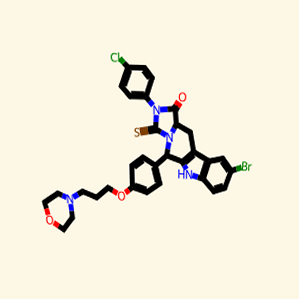 O=C1C2Cc3c([nH]c4ccc(Br)cc34)C(c3ccc(OCCCN4CCOCC4)cc3)N2C(=S)N1c1ccc(Cl)cc1